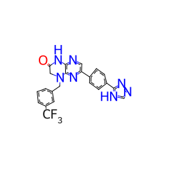 O=C1CN(Cc2cccc(C(F)(F)F)c2)c2nc(-c3ccc(-c4nnc[nH]4)cc3)cnc2N1